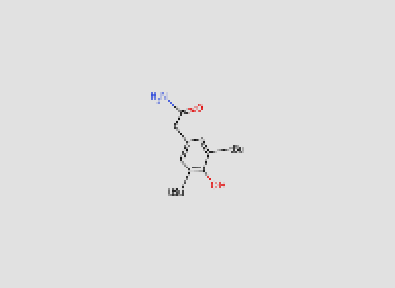 CC(C)(C)c1cc(CC(N)=O)cc(C(C)(C)C)c1O